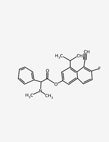 C#Cc1c(F)ccc2cc(OC(=O)C(c3ccccc3)N(C)C)cc(C(C)C)c12